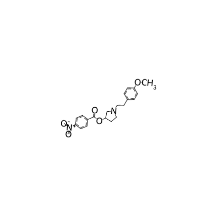 COc1ccc(CCN2CCC(OC(=O)c3ccc([N+](=O)[O-])cc3)C2)cc1